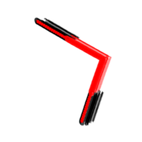 [Ca+2].[Ca+2].[Ca+2].[Ca+2].[Ca+2].[Ca+2].[Ca+2].[Ca+2].[Ca+2].[Ca+2].[Ca+2].[Ca+2].[Ca+2].[Ca+2].[Ca+2].[Ca+2].[Ca+2].[Ca+2].[Ca+2].[Ca+2].[Ca+2].[Ca+2].[Ca+2].[Ca+2].[Ca+2].[Ca+2].[Ca+2].[Ca+2].[Ca+2].[Ca+2].[Ca+2].[Ca+2].[Ca+2].[Ca+2].[Ca+2].[Ca+2].[Ca+2].[Ca+2].[Ca+2].[Ca+2].[Ca+2].[Ca+2].[Ca+2].[Ca+2].[Ca+2].[Ca+2].[Ca+2].[Ca+2].[Ca+2].[Ca+2].[Ca+2].[Ca+2].[Ca+2].[Ca+2].[Ca+2].[Ca+2].[Ca+2].[Ca+2].[Ca+2].[Ca+2].[O-2].[O-2].[O-2].[O-2].[O-2].[O-2].[O-2].[O-2].[O-2].[O-2].[O-2].[O-2].[O-2].[O-2].[O-2].[O-2].[O-2].[O-2].[O-2].[O-2].[O-2].[O-2].[O-2].[O-2].[O-2].[O-2].[O-2].[O-2].[O-2].[O-2].[O-2].[O-2].[O-2].[O-2].[O-2].[O-2].[O-2].[O-2].[O-2].[O-2].[O-2].[O-2].[O-2].[O-2].[O-2].[O-2].[O-2].[O-2].[O-2].[O-2].[O-2].[O-2].[O-2].[O-2].[O-2].[O-2].[O-2].[O-2].[O-2].[O-2].[O-2].[O-2].[O-2].[O-2].[O-2].[O-2].[O-2].[O-2].[O-2].[O-2].[O-2].[O-2]